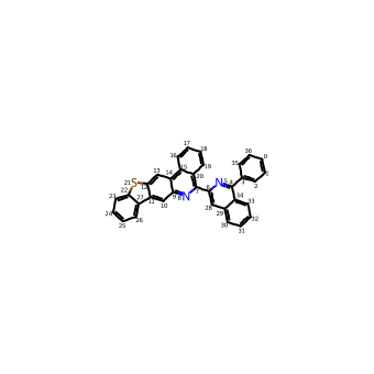 c1ccc(-c2nc(-c3nc4cc5c(cc4c4ccccc34)sc3ccccc35)cc3ccccc23)cc1